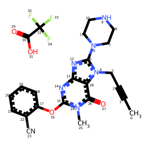 CC#CCn1c(N2CCNCC2)nc2nc(Oc3ccccc3C#N)n(C)c(=O)c21.O=C(O)C(F)(F)F